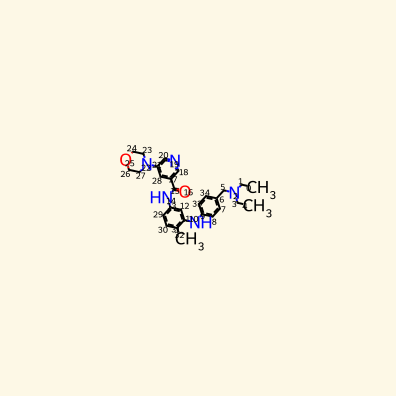 CCN(CC)Cc1ccc(Nc2cc(NC(=O)c3cncc(N4CCOCC4)c3)ccc2C)cc1